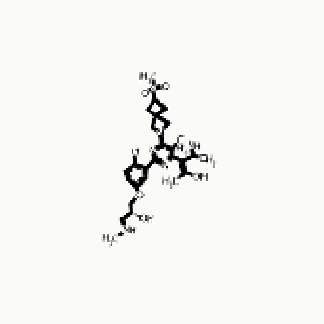 CNC[C@@H](O)COc1ccc(Cl)c(-c2nc(/C(C(C)=N)=C(\C)O)c(C)c(N3CC4(CC(S(C)(=O)=O)C4)C3)n2)c1